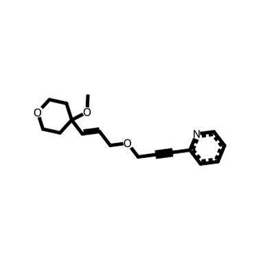 COC1(C=CCOCC#Cc2ccccn2)CCOCC1